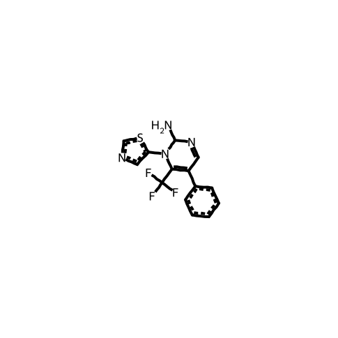 NC1N=CC(c2ccccc2)=C(C(F)(F)F)N1c1cncs1